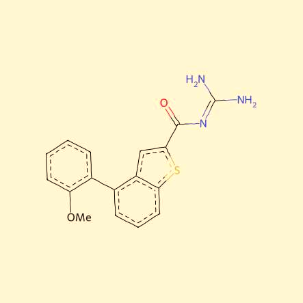 COc1ccccc1-c1cccc2sc(C(=O)N=C(N)N)cc12